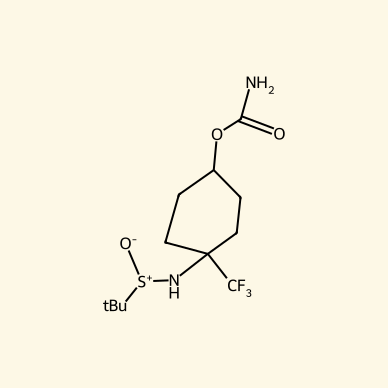 CC(C)(C)[S+]([O-])NC1(C(F)(F)F)CCC(OC(N)=O)CC1